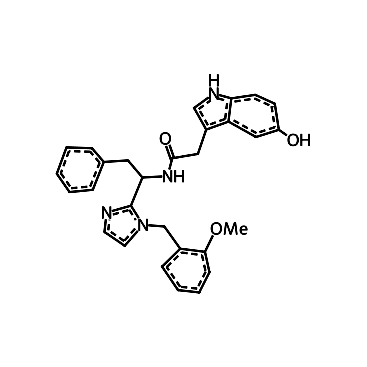 COc1ccccc1Cn1ccnc1C(Cc1ccccc1)NC(=O)Cc1c[nH]c2ccc(O)cc12